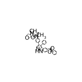 CN(C(=O)CN(C)C1CCOCC1)c1ccc(-c2cnc3[nH]c4ccc(CS(=O)(=O)c5ccccc5)cc4c3c2-c2ccccc2)cc1